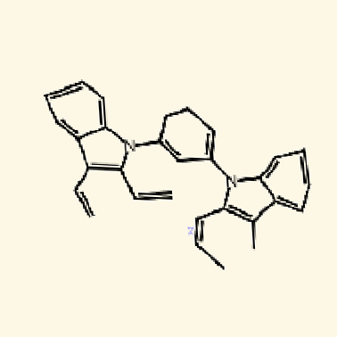 C=Cc1c(C=C)n(C2=CC(n3c(/C=C\C)c(C)c4ccccc43)=CCC2)c2ccccc12